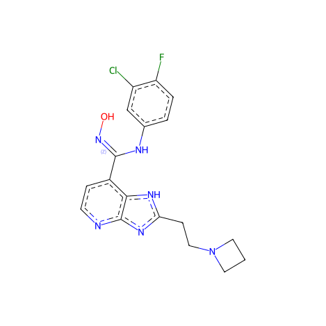 O/N=C(\Nc1ccc(F)c(Cl)c1)c1ccnc2nc(CCN3CCC3)[nH]c12